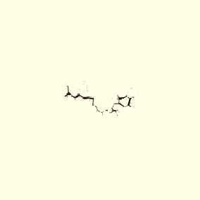 COc1c(C)c(C)c2c(c1C)C(=O)CC(C)(CCC[C@H](C)CCC[C@H](C)CCCC(C)C)O2